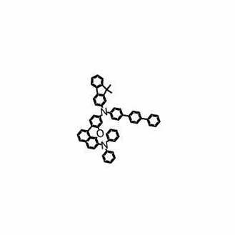 CC1(C)c2ccccc2-c2ccc(N(c3ccc(-c4ccc(-c5ccccc5)cc4)cc3)c3ccc4c(c3)Oc3c(N(c5ccccc5)c5ccccc5)ccc5cccc-4c35)cc21